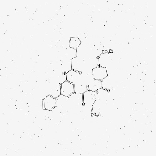 CCOC(=O)ON1CCN(C(=O)[C@H](CCC(=O)O)NC(=O)c2cc(NC(=O)CCC3CCCC3)nc(-c3ccccc3)n2)CC1